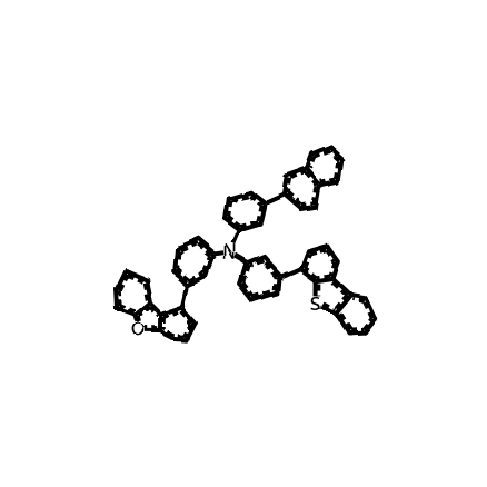 c1cc(-c2ccc3ccccc3c2)cc(N(c2cccc(-c3cccc4c3sc3ccccc34)c2)c2cccc(-c3cccc4oc5ccccc5c34)c2)c1